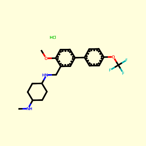 CNC1CCC(NCc2cc(-c3ccc(OC(F)(F)F)cc3)ccc2OC)CC1.Cl